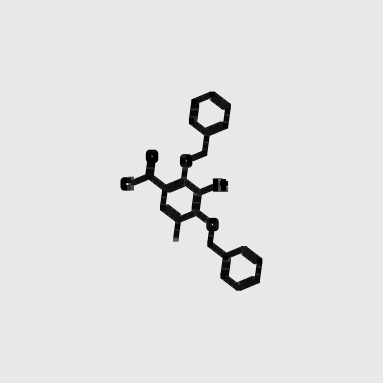 CCc1c(OCc2ccccc2)c(C)cc(C(=O)Cl)c1OCc1ccccc1